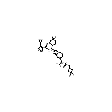 O=C(CC1CC(F)(F)C1)N[C@@H](c1cnn2cc([C@@H](NC(=O)c3nonc3C3CC3)C3CCC(F)(F)CC3)nc2c1)C(F)F